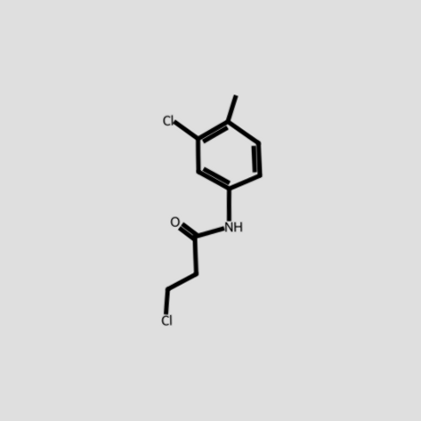 Cc1ccc(NC(=O)CCCl)cc1Cl